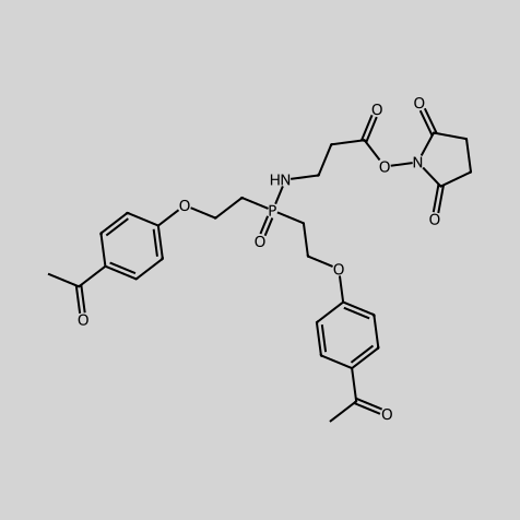 CC(=O)c1ccc(OCCP(=O)(CCOc2ccc(C(C)=O)cc2)NCCC(=O)ON2C(=O)CCC2=O)cc1